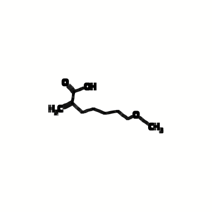 C=C(CCCCCOC)C(=O)O